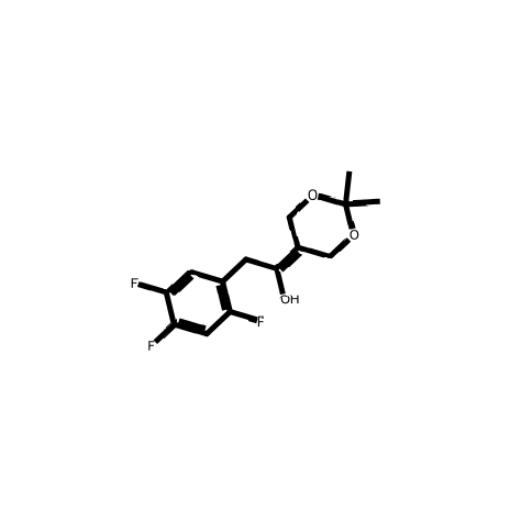 CC1(C)OCC(=C(O)Cc2cc(F)c(F)cc2F)CO1